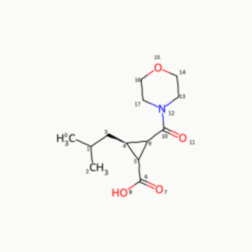 CC(C)C[C@@H]1C(C(=O)O)C1C(=O)N1CCOCC1